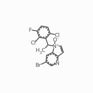 CC(c1c(Cl)ccc(F)c1Cl)[N+]1([O-])C=Cc2ncc(Br)cc21